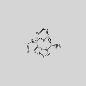 NC(=O)c1cncs1.c1ccc(-c2ccccc2)cc1